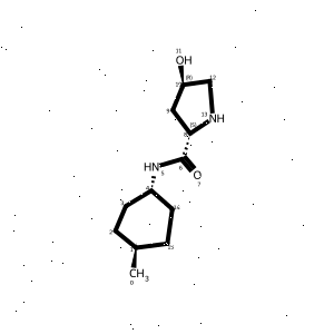 C[C@H]1CC[C@H](NC(=O)[C@@H]2C[C@@H](O)CN2)CC1